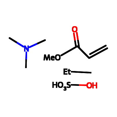 C=CC(=O)OC.CCC.CN(C)C.O=S(=O)(O)O